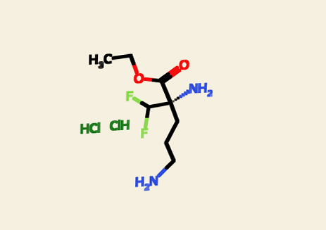 CCOC(=O)[C@@](N)(CCCN)C(F)F.Cl.Cl